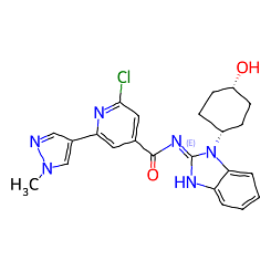 Cn1cc(-c2cc(C(=O)/N=c3\[nH]c4ccccc4n3[C@H]3CC[C@@H](O)CC3)cc(Cl)n2)cn1